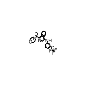 O=C(c1ncc(Nc2cccc(OC(F)(F)F)c2)c2c1C1CCC2C1)N1CCOCC1